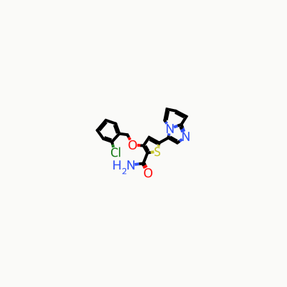 NC(=O)c1sc(-c2cnc3ccccn23)cc1OCc1ccccc1Cl